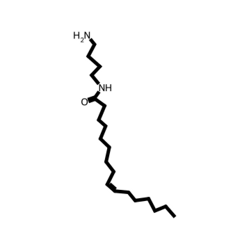 CCCCCC/C=C\CCCCCCCC(=O)NCCCCN